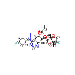 COc1cc2c(Nc3ccc(F)cc3)ncnc2cc1OC1CO[C@H]2[C@H](F)CO[C@@H]12